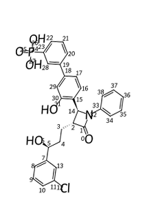 O=C1[C@H](CC[C@H](O)c2cccc(Cl)c2)[C@@H](c2ccc(-c3cccc(P(=O)(O)O)c3)cc2O)N1c1ccccc1